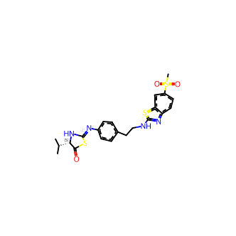 CC(C)[C@@H]1N/C(=N/c2ccc(CCNc3nc4ccc(S(C)(=O)=O)cc4s3)cc2)SC1=O